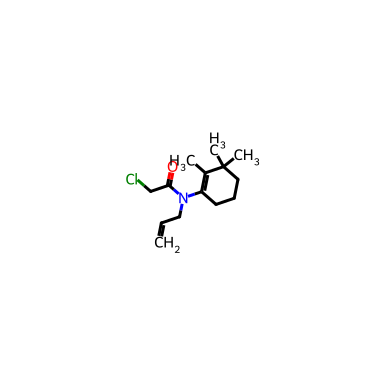 C=CCN(C(=O)CCl)C1=C(C)C(C)(C)CCC1